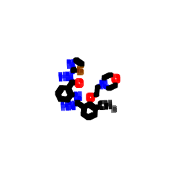 Cc1cccc(-c2nc3c(C(=O)Nc4nccs4)cccc3[nH]2)c1OCCN1CCOCC1